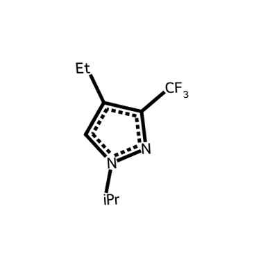 CCc1cn(C(C)C)nc1C(F)(F)F